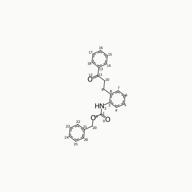 O=C(Nc1ccccc1CCC(=O)c1ccccc1)OCc1ccccc1